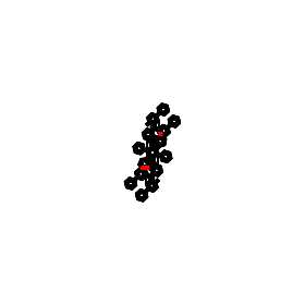 Cc1ccc(-c2ccccc2)cc1N(c1cccc(-c2ccccc2)c1)c1cccc2c1c1cccc3c4c(-c5ccccc5)c5c(c(-c6ccccc6)c4n2c13)c1cccc2c3c(N(c4cc(-c6ccccc6)ccc4C)c4cc(-c6ccccc6)ccc4C)cccc3n5c21